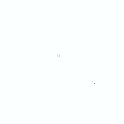 Cc1ccc(-n2c(C)c(C(=O)CN3CCCCC3)c3ccccc32)cc1